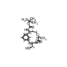 C[C@@H]1CCC[C@H](NC(=O)OC(C)(C)C)c2cccc(c2)C[C@H](CO)NC1=O